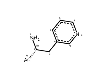 CC(=O)[C@H](N)Cc1cccnc1